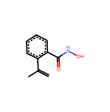 C=C(C)c1ccccc1C(=O)NO